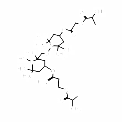 C=C(CCOC(=O)C(C)I)OC1CC(C)(C)N(O)C(C)(CON2C(C)(C)CC(OC(=O)COC(=O)C(C)I)CC2(C)C)C1